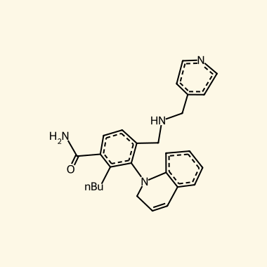 CCCCc1c(C(N)=O)ccc(CNCc2ccncc2)c1N1CC=Cc2ccccc21